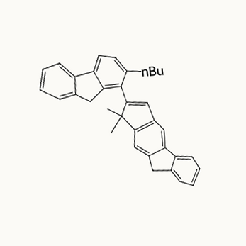 CCCCc1ccc2c(c1C1=Cc3cc4c(cc3C1(C)C)Cc1ccccc1-4)Cc1ccccc1-2